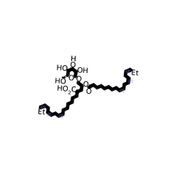 CC/C=C\C/C=C\C/C=C\CCCCCCCC(=O)OC(CO[C@@H]1O[C@H](CO)[C@@H](O)[C@H](O)[C@H]1O)CC(CCCCCC/C=C\C/C=C\C/C=C\CC)C(=O)O